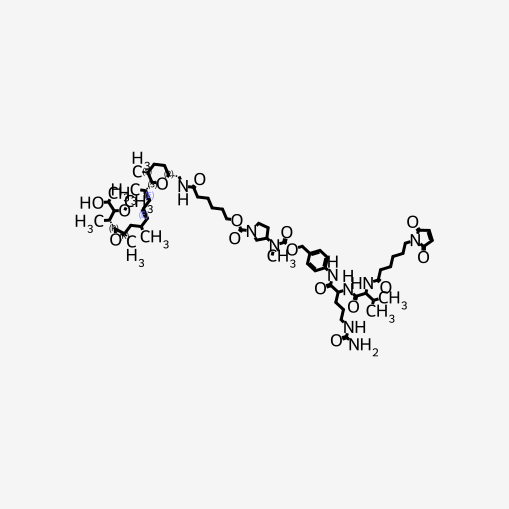 COC(C(C)O)C(C)[C@H]1O[C@]1(C)CC(C)/C=C/C=C(\C)[C@H]1O[C@@H](CNC(=O)CCCCCOC(=O)N2CCC(N(C)C(=O)OCc3ccc(NC(=O)C(CCCNC(N)=O)NC(=O)C(NC(=O)CCCCCN4C(=O)C=CC4=O)C(C)C)cc3)C2)CC[C@@H]1C